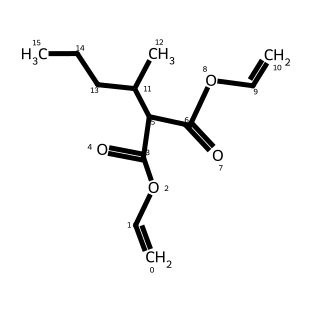 C=COC(=O)C(C(=O)OC=C)C(C)CCC